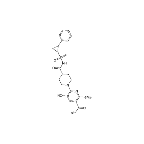 CCCC(=O)c1cc(C#N)c(N2CCC(C(=O)NS(=O)(=O)C3CC3c3ccccc3)CC2)nc1SC